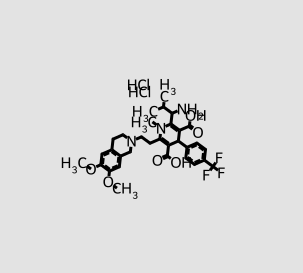 COc1cc2c(cc1OC)CN(CCC1=C(C(=O)O)C(c3ccc(C(F)(F)F)cc3)C(C(=O)O)=C(C(N)C(C)C)N1C)CC2.Cl.Cl